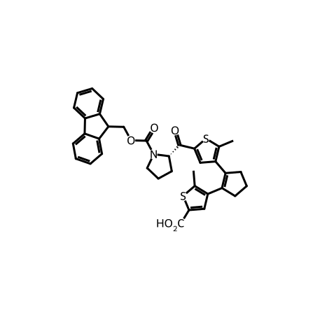 Cc1sc(C(=O)O)cc1C1=C(c2cc(C(=O)[C@@H]3CCCN3C(=O)OCC3c4ccccc4-c4ccccc43)sc2C)CCC1